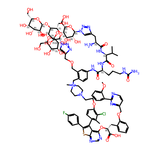 COc1ccccc1-c1nccc(COc2ccccc2C[C@@H](Oc2ncnc3sc(-c4ccc(F)cc4)c(-c4ccc(OCCN5CC[N+](C)(Cc6ccc(NC(=O)[C@H](CCCNC(N)=O)NC(=O)[C@@H](NC(=O)[C@@H](N)Cc7cn([C@@H]8O[C@H](CO)[C@@H](O[C@@H]9O[C@H](CO)[C@H](O)[C@H](O)[C@H]9O)[C@H](O)[C@H]8O)nn7)C(C)C)cc6COCc6cn([C@H]7O[C@@H](CO)[C@H](O[C@H]8O[C@@H](CO)[C@@H](O)[C@@H](O)[C@@H]8O)[C@@H](O)[C@@H]7O)nn6)CC5)c(Cl)c4C)c23)C(=O)O)n1